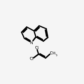 CC=C(Cl)Cl.c1ccc2ncccc2c1